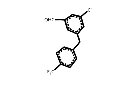 O=Cc1cc(Cl)cc(Cc2ccc(C(F)(F)F)cc2)c1